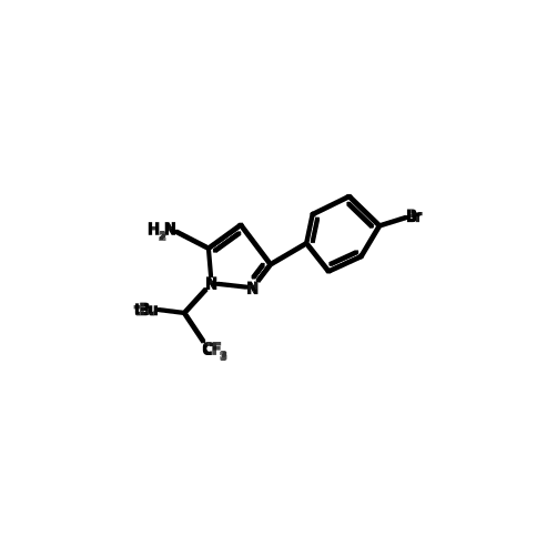 CC(C)(C)C(n1nc(-c2ccc(Br)cc2)cc1N)C(F)(F)F